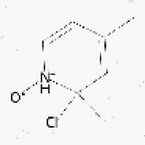 CC1=CC(C)(Cl)[NH+]([O-])C=C1